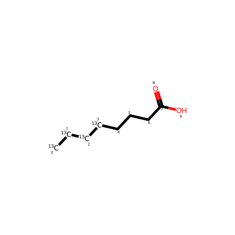 [13CH3][13CH2][13CH2][13CH2]CCCC(=O)O